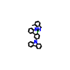 Cc1cccc(C)c1Nc1ccccc1-c1cc(-n2c3ccccc3c3ccccc32)ccc1F